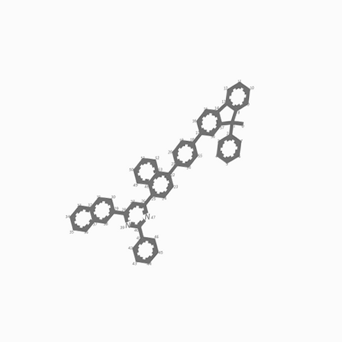 CC1(c2ccccc2)c2ccccc2-c2ccc(-c3ccc(-c4ccc(-c5cc(-c6ccc7ccccc7c6)nc(-c6ccccc6)n5)c5ccccc45)cc3)cc21